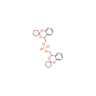 O=S(=O)(OCC1OC2(CCCC2)Oc2ccccc21)OCC1OC2(CCCC2)Oc2ccccc21